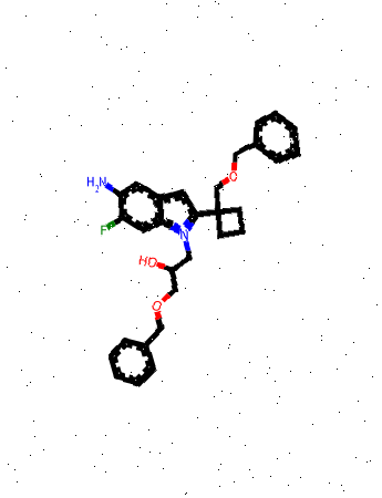 Nc1cc2cc(C3(COCc4ccccc4)CCC3)n(CC(O)COCc3ccccc3)c2cc1F